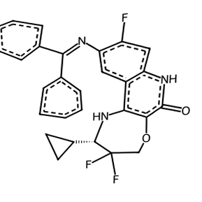 O=c1[nH]c2cc(F)c(N=C(c3ccccc3)c3ccccc3)cc2c2c1OCC(F)(F)[C@H](C1CC1)N2